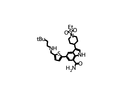 CCS(=O)(=O)N1CCC(c2c[nH]c3c(C(N)=O)cc(-c4ccc(CNCCC(C)(C)C)s4)cc23)CC1